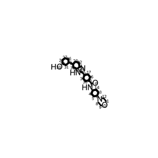 O=C(Nc1ccc(N2CCOCC2)cc1)c1ccc(-c2nc3ccc(-c4cccc(O)c4)cc3[nH]2)cc1